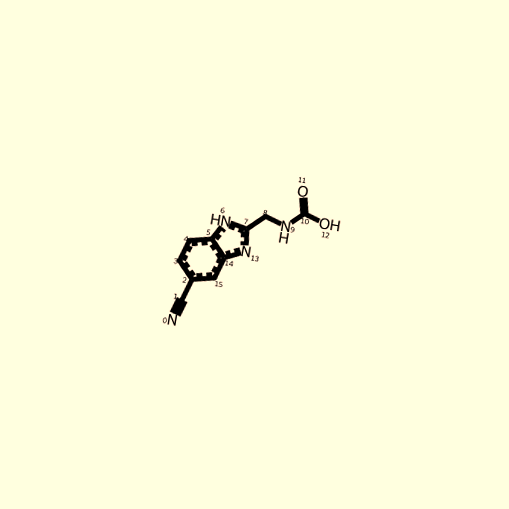 N#Cc1ccc2[nH]c(CNC(=O)O)nc2c1